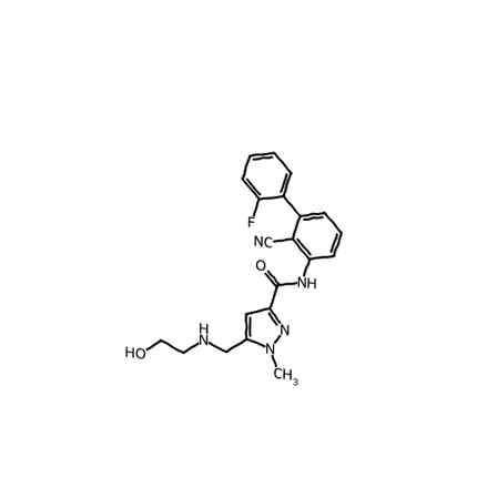 Cn1nc(C(=O)Nc2cccc(-c3ccccc3F)c2C#N)cc1CNCCO